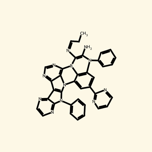 CC/C=N\C1=C(N)N(c2ccccc2)c2cc(-c3ncccn3)cc3c2B1c1ncnc2c4c5nccnc5n(-c5ccccc5)c4n-3c12